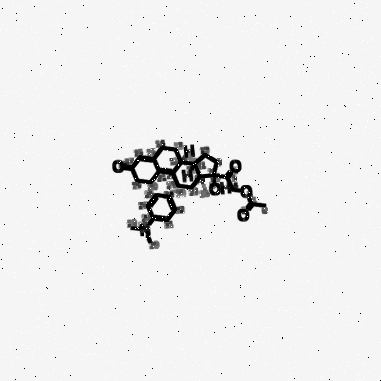 CC(=O)OCC(=O)[C@@]1(O)CC[C@H]2[C@@H]3CCC4=CC(=O)CCC4=C3[C@@H](c3ccc(N(C)C)cc3)C[C@@]21C